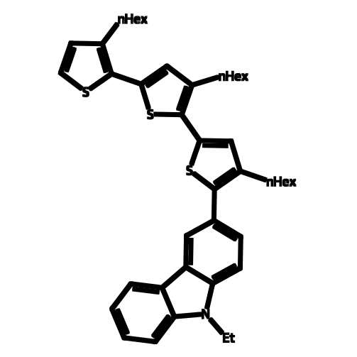 CCCCCCc1cc(-c2sc(-c3sccc3CCCCCC)cc2CCCCCC)sc1-c1ccc2c(c1)c1ccccc1n2CC